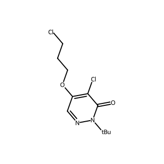 CC(C)(C)n1ncc(OCCCCl)c(Cl)c1=O